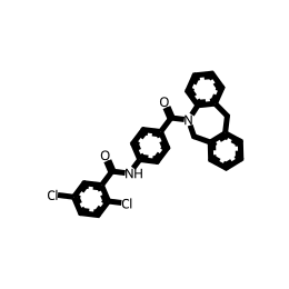 O=C(Nc1ccc(C(=O)N2Cc3ccccc3Cc3ccccc32)cc1)c1cc(Cl)ccc1Cl